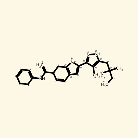 C=C(NC1=CC=CCC1)C1C=Cc2cc(-c3n[nH]c(CC(C)(C)CC)c3C)[nH]c2C1